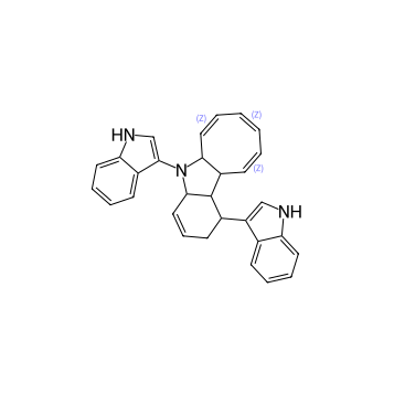 C1=CC2C(C(c3c[nH]c4ccccc34)C1)C1\C=C/C=C\C=C/C1N2c1c[nH]c2ccccc12